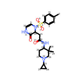 Cc1ccc(S(=O)(=O)N2C=CNC(=O)C2CC(=O)NC2CCN(C3CC3)CC2(C)C)cc1